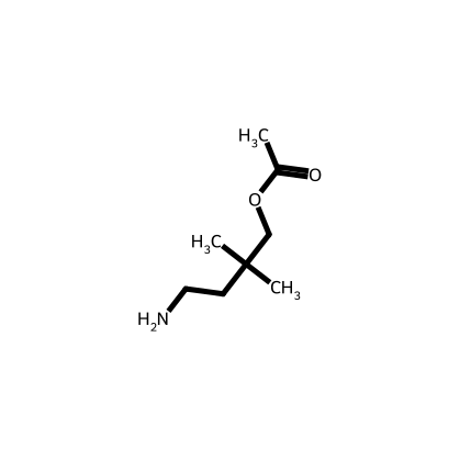 CC(=O)OCC(C)(C)CCN